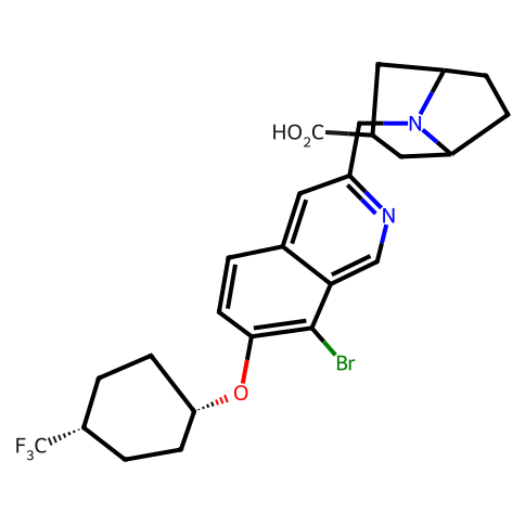 O=C(O)C1CC2CCC(C1)N2Cc1cc2ccc(O[C@H]3CC[C@@H](C(F)(F)F)CC3)c(Br)c2cn1